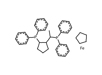 C1CCCC1.CC(C1CCCC1P(c1ccccc1)c1ccccc1)P(c1ccccc1)c1ccccc1.[Fe]